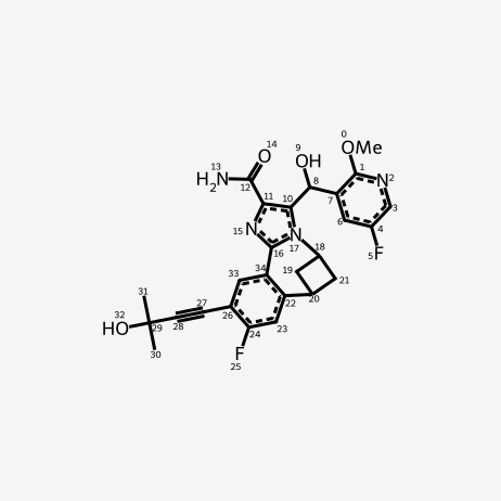 COc1ncc(F)cc1C(O)c1c(C(N)=O)nc2n1C1CC(C1)c1cc(F)c(C#CC(C)(C)O)cc1-2